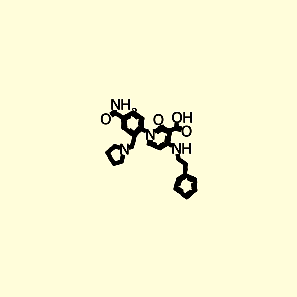 NC(=O)c1ccc(-n2ccc(NCCc3ccccc3)c(C(=O)O)c2=O)c(CN2CCCC2)c1